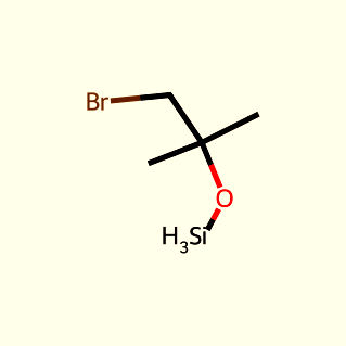 CC(C)(CBr)O[SiH3]